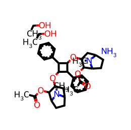 CC(=O)OC1C(OC2C(c3ccccc3)C(OC3CC4CCC(C3OC(C)=O)N4C)C2c2ccccc2)CC2CCC1N2C.CCO.CCO.N